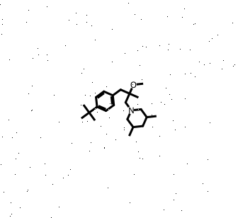 COC(C)(Cc1ccc(C(C)(C)C)cc1)CN1CC(C)CC(C)C1